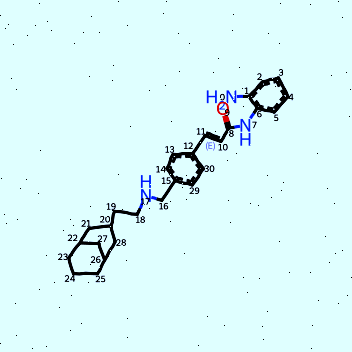 Nc1ccccc1NC(=O)/C=C/c1ccc(CNCCC2CC3CCCC(C3)C2)cc1